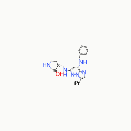 CC(C)c1cnc2c(NCc3ccccc3)cc(NC[C@H]3CCNC[C@@H]3O)nn12